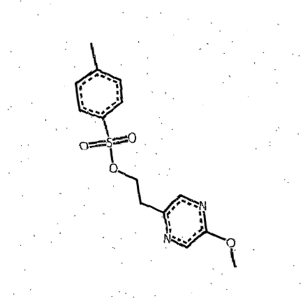 COc1cnc(CCOS(=O)(=O)c2ccc(C)cc2)cn1